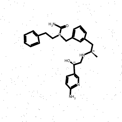 C[C@H](Cc1cccc(CN(CCc2ccccc2)C(N)=O)c1)NC[C@H](O)c1ccc(N)nc1